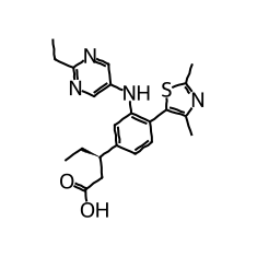 CCc1ncc(Nc2cc([C@H](CC)CC(=O)O)ccc2-c2sc(C)nc2C)cn1